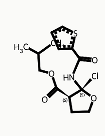 CC(C)COC(=O)[C@@H]1CCO[C@@]1(Cl)NC(=O)c1cccs1